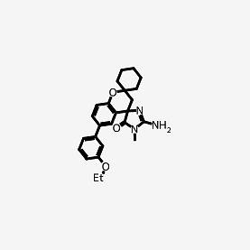 CCOc1cccc(-c2ccc3c(c2)C2(CC4(CCCCC4)O3)N=C(N)N(C)C2=O)c1